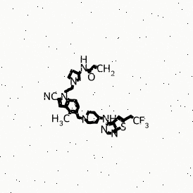 C=CC(=O)NC1CCN(CCn2c(C#N)cc3c(C)c(CN4CCC(Nc5ncnc6sc(CC(F)(F)F)cc56)CC4)ccc32)C1